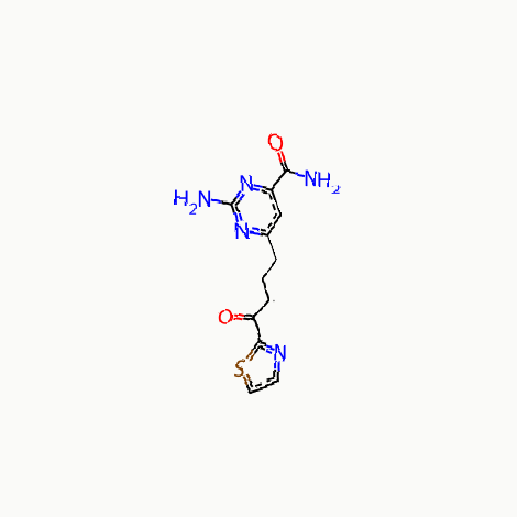 NC(=O)c1cc(CC[CH]C(=O)c2nccs2)nc(N)n1